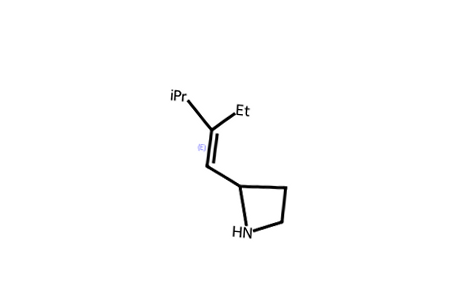 CC/C(=C\C1CCN1)C(C)C